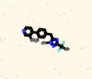 CCCn1nc(C(F)(F)CCC)nc1Cc1ccc(-c2ccncc2C(=O)O)cc1